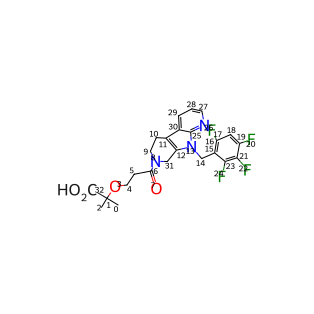 CC(C)(OCCC(=O)N1CCc2c(n(Cc3c(F)cc(F)c(F)c3F)c3ncccc23)C1)C(=O)O